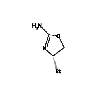 CC[C@H]1COC(N)=N1